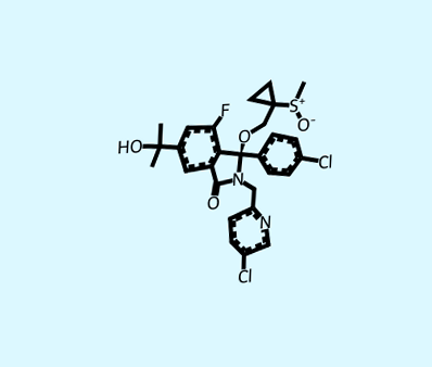 C[S+]([O-])C1(CO[C@]2(c3ccc(Cl)cc3)c3c(F)cc(C(C)(C)O)cc3C(=O)N2Cc2ccc(Cl)cn2)CC1